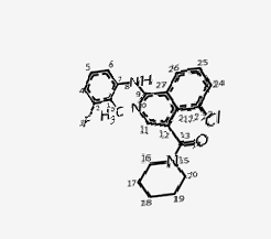 Cc1c(F)cccc1Nc1ncc(C(=O)N2CCCCC2)c2c(Cl)cccc12